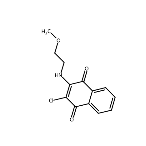 COCCNC1=C(Cl)C(=O)c2ccccc2C1=O